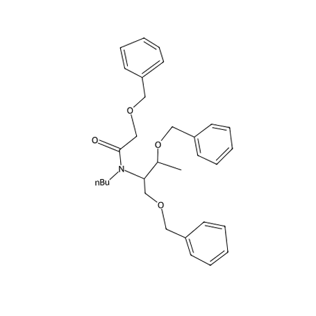 CCCCN(C(=O)COCc1ccccc1)C(COCc1ccccc1)C(C)OCc1ccccc1